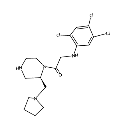 O=C(CNc1cc(Cl)c(Cl)cc1Cl)N1CCNC[C@@H]1CN1CCCC1